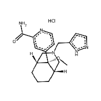 CO[C@@]1(c2ccnc(C(N)=O)c2)[C@@H]2CCC[C@H]1CN(Cc1ccn[nH]1)C2.Cl